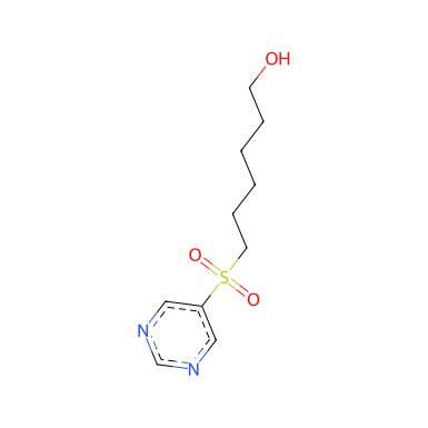 O=S(=O)(CCCCCCO)c1cncnc1